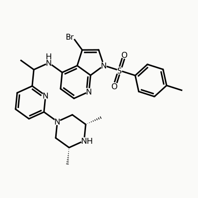 Cc1ccc(S(=O)(=O)n2cc(Br)c3c(NC(C)c4cccc(N5C[C@@H](C)N[C@@H](C)C5)n4)ccnc32)cc1